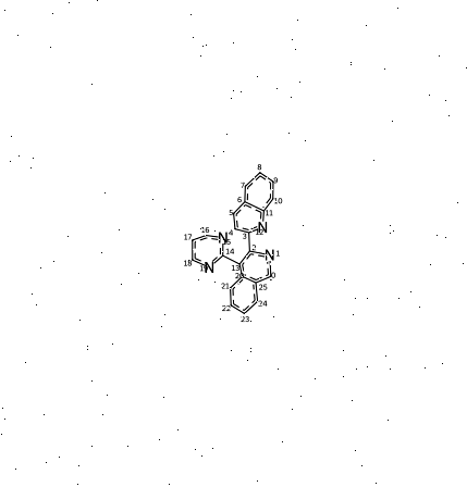 [c]1nc(-c2ccc3ccccc3n2)c(-c2ncccn2)c2ccccc12